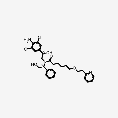 Nc1c(Cl)cc([C@@H](O)CN(C(=O)CCCCCOCCc2ccccn2)[C@H](CO)c2ccccc2)cc1Cl